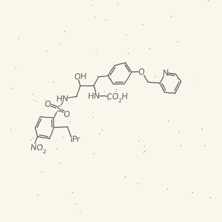 CC(C)Cc1cc([N+](=O)[O-])ccc1S(=O)(=O)NCC(O)C(Cc1ccc(OCc2ccccn2)cc1)NC(=O)O